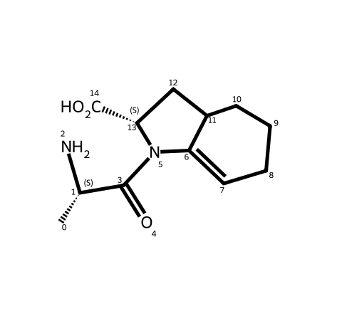 C[C@H](N)C(=O)N1C2=CCCCC2C[C@H]1C(=O)O